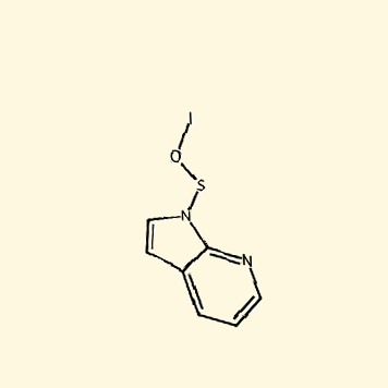 IOSn1ccc2cccnc21